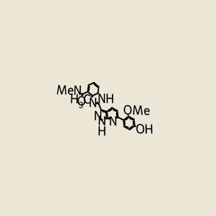 CNC(=O)C1=CC=CC2NC(c3n[nH]c4nc(-c5ccc(O)cc5OC)ccc34)=NC12C